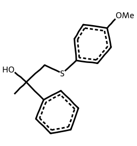 COc1ccc(SCC(C)(O)c2ccccc2)cc1